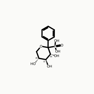 O=P(O)(O)C1(c2ccccc2)OC[C@@H](O)[C@H](O)[C@H]1O